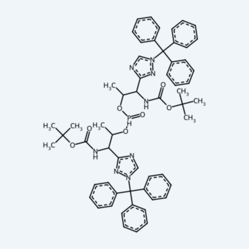 CC(O[PH](=O)OC(C)C(NC(=O)OC(C)(C)C)c1ncn(C(c2ccccc2)(c2ccccc2)c2ccccc2)n1)C(NC(=O)OC(C)(C)C)c1ncn(C(c2ccccc2)(c2ccccc2)c2ccccc2)n1